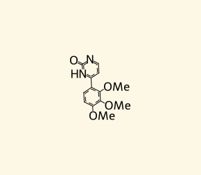 COc1ccc(-c2ccnc(=O)[nH]2)c(OC)c1OC